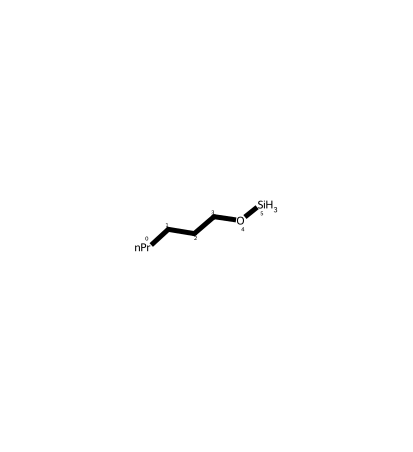 CCCCCCO[SiH3]